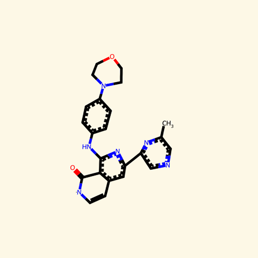 Cc1cncc(-c2cc3c(c(Nc4ccc(N5CCOCC5)cc4)n2)C(=O)[N]C=C3)n1